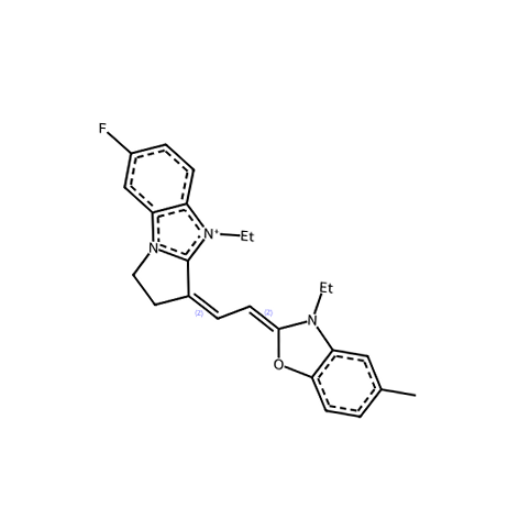 CCN1/C(=C/C=C2/CCn3c2[n+](CC)c2ccc(F)cc23)Oc2ccc(C)cc21